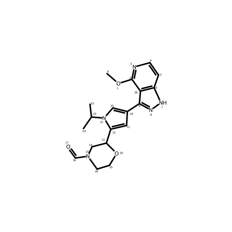 COc1nccc2[nH]nc(-c3cc(C4CN(C=O)CCO4)n(C(C)C)c3)c12